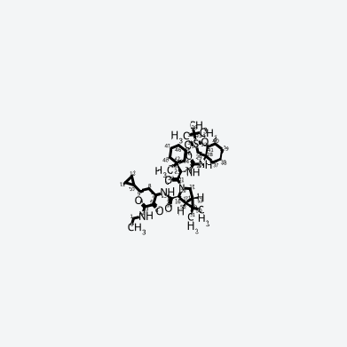 CCNC(=O)C(=O)C(CCC1CC1)NC(=O)[C@@H]1[C@@H]2[C@H](CN1C(=O)[C@@H](NC(=O)NC1(CS(=O)(=O)C(C)(C)C)CCCCC1)C1(C)CCCCC1)C2(C)C